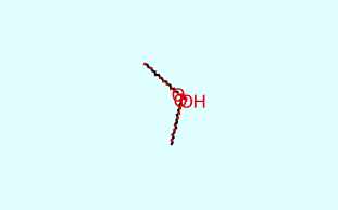 CCCCCCCCC=CCCCCCCCCOCC(CO)OCCCCCCCCC=CCCCCCCCC